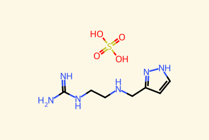 N=C(N)NCCNCc1cc[nH]n1.O=S(=O)(O)O